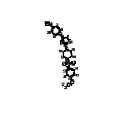 CCc1ccc(-c2csc(N3CCC(S(=O)(=O)c4ccc(OC(F)(F)F)cc4)CC3)n2)cc1